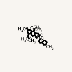 COc1cc2c(c3c1OC(C)(C)C3)C(c1ccc(=O)n(-c3ccc4cc(C)ccc4n3)c1)=NC(C)(C)C2